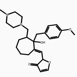 COc1ccc(CC2(O)C(=CC3OC=CC3=O)CCCCC2CN2CCN(C)CC2)cc1